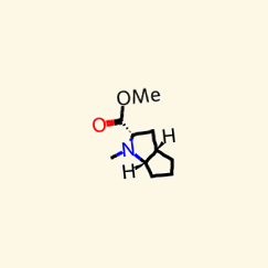 COC(=O)[C@@H]1C[C@@H]2CCC[C@@H]2N1C